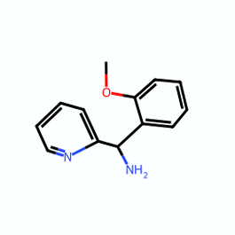 COc1ccccc1C(N)c1ccccn1